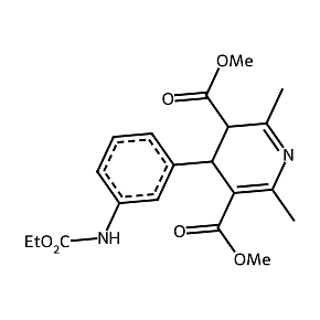 CCOC(=O)Nc1cccc(C2C(C(=O)OC)=C(C)N=C(C)C2C(=O)OC)c1